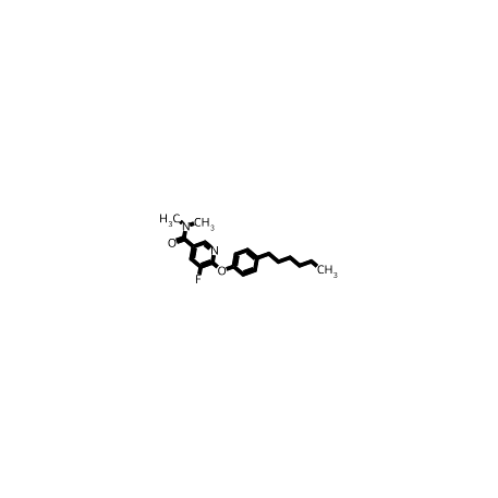 CCCCCCc1ccc(Oc2ncc(C(=O)N(C)C)cc2F)cc1